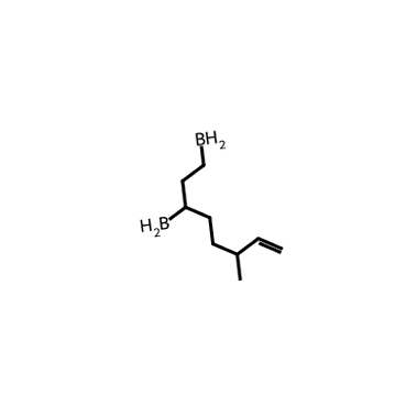 BCCC(B)CCC(C)C=C